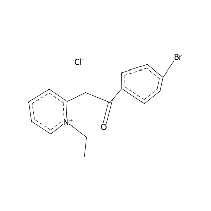 CC[n+]1ccccc1CC(=O)c1ccc(Br)cc1.[Cl-]